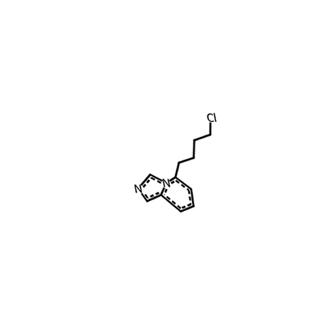 ClCCCCc1cccc2cncn12